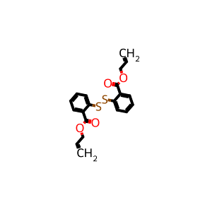 C=CCOC(=O)c1ccccc1SSc1ccccc1C(=O)OCC=C